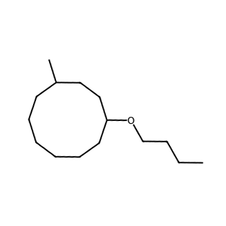 CCCCOC1CCCCCCC(C)CC1